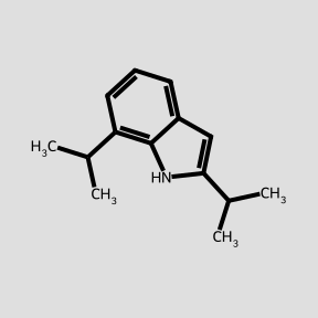 CC(C)c1cc2cccc(C(C)C)c2[nH]1